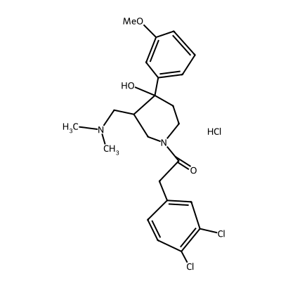 COc1cccc(C2(O)CCN(C(=O)Cc3ccc(Cl)c(Cl)c3)CC2CN(C)C)c1.Cl